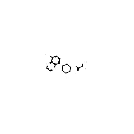 CC(C)[C@H](O)C(=O)N[C@@H]1C[C@H](C)C[C@@H](c2ccc(C#N)c3nccnc23)C1